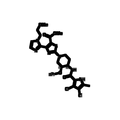 CCCO[C@H]1CN(c2nc(-c3nccn3CCOC)c(C(=O)OC)s2)CC[C@H]1NC(=O)c1[nH]c(C)c(Cl)c1Cl